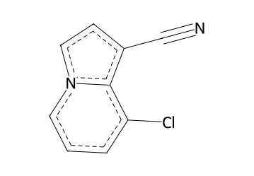 N#Cc1ccn2cccc(Cl)c12